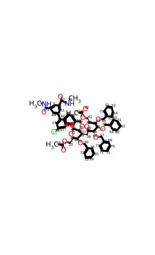 CNC(=O)c1cc(C(=O)NC)cc(-c2cc(Cl)cc(O[C@H]3O[C@H](COC(C)=O)[C@@H](OCc4ccccc4)[C@H](C[C@H]4O[C@H](COC(C)=O)[C@@H](OCc5ccccc5)[C@H](OCc5ccccc5)[C@@H]4OCc4ccccc4)[C@@H]3OCc3ccccc3)c2)c1